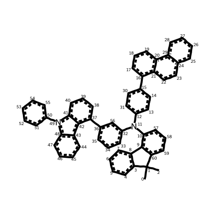 CC1(C)c2ccccc2-c2c(N(c3ccc(-c4cccc5c4ccc4ccccc45)cc3)c3cccc(-c4cccc5c4c4ccccc4n5-c4ccccc4)c3)cccc21